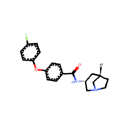 O=C(N[C@@H]1C[C@@H]2CCN(C2)C1)c1ccc(Oc2ccc(F)cc2)cc1